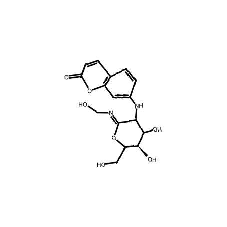 O=c1ccc2ccc(NC3C(=NCO)OC(CO)[C@H](O)C3O)cc2o1